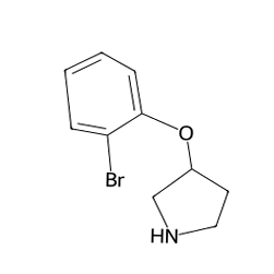 Brc1ccccc1OC1CCNC1